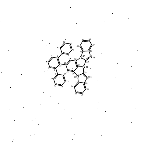 c1ccc(-c2cccc(-c3ccccc3)c2-c2cc3c4c(c2)n2c5ccccc5nc2n4c2nc4ccccc4n32)cc1